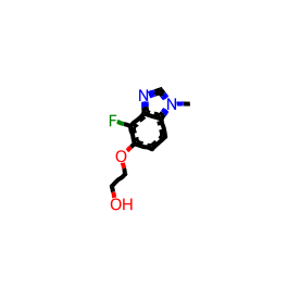 Cn1cnc2c(F)c(OCCO)ccc21